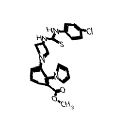 COC(=O)c1cccc(N2CC(NC(=S)Nc3ccc(Cl)cc3)C2)c1-n1cccc1